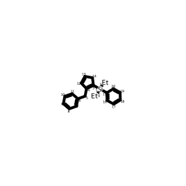 CC[Si](CC)(C1=C(Cc2ccccc2)C=CC1)c1ccccc1